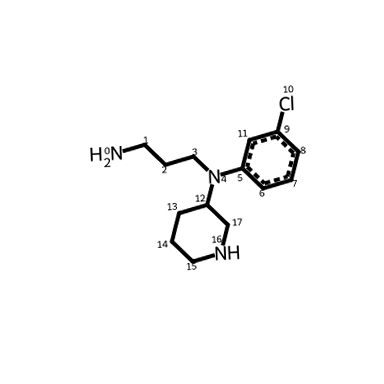 NCCCN(c1cccc(Cl)c1)C1CCCNC1